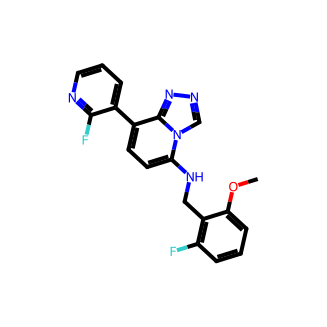 COc1cccc(F)c1CNc1ccc(-c2cccnc2F)c2nncn12